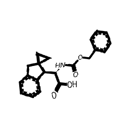 O=C(N[C@H](C(=O)O)C1c2ccccc2CC12CC2)OCc1ccccc1